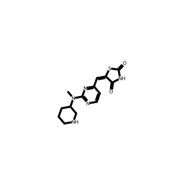 CN(c1nccc(C=C2SC(=O)NC2=O)n1)C1CCCNC1